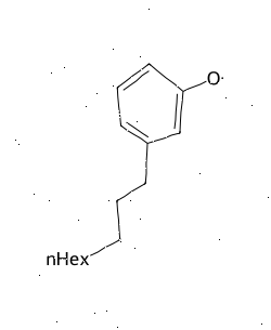 CCCCCCCCCc1cccc([O])c1